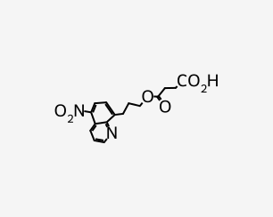 O=C(O)CCC(=O)OCCCc1ccc([N+](=O)[O-])c2cccnc12